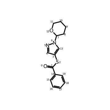 O=C(Sc1cnn(C2CCCCO2)c1)c1ccccc1